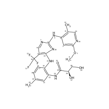 COc1cc(Nc2ncc(C(F)(F)F)c(Nc3ccc(C)cc3NC(=O)[C@H](O)CO)n2)c(C)cn1